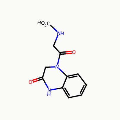 O=C(O)NCC(=O)N1CC(=O)Nc2ccccc21